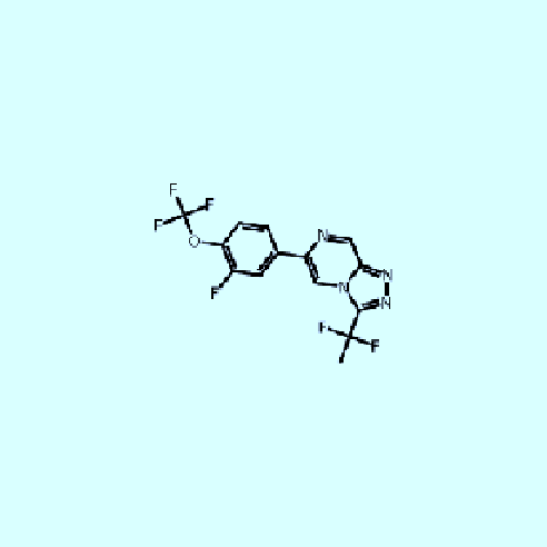 CC(F)(F)c1nnc2cnc(-c3ccc(OC(F)(F)F)c(F)c3)cn12